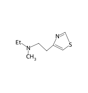 CCN(C)CCc1cscn1